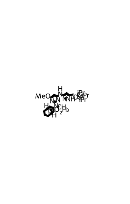 COc1cc(Nc2cc(CO[Si](C(C)C)(C(C)C)C(C)C)[nH]n2)nc(N(C)C2C[C@H]3CCC[C@@H](C2)N3C(=O)O)n1